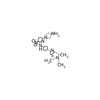 CCCN(CCC)C(C)Cc1nc(-c2ccc(Nc3nc(N4CCC(N)CC4)ccc3[N+](=O)[O-])cc2)cs1